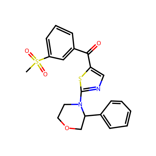 CS(=O)(=O)c1cccc(C(=O)c2cnc(N3CCOCC3c3ccccc3)s2)c1